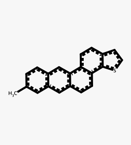 Cc1ccc2cc3c(ccc4c3ccc3ccsc34)cc2c1